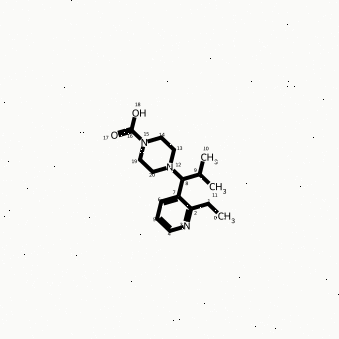 CCc1ncccc1C(C(C)C)N1CCN(C(=O)O)CC1